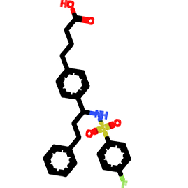 O=C(O)CCCc1ccc(C(CCc2ccccc2)NS(=O)(=O)c2ccc(F)cc2)cc1